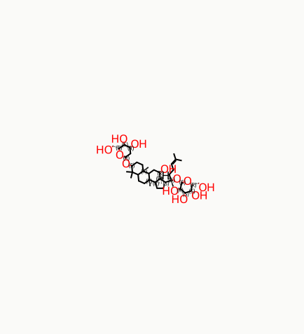 CC(C)=CCC[C@](C)(O[C@@H]1O[C@H](CO)[C@@H](O)[C@H](O)[C@H]1O)[C@H]1CC[C@]2(C)[C@@H]1[C@H](O)CC1[C@@]3(C)CC[C@H](O[C@H]4C[C@@H](O)[C@H](O)[C@@H](CO)O4)C(C)(C)C3CC[C@]12C